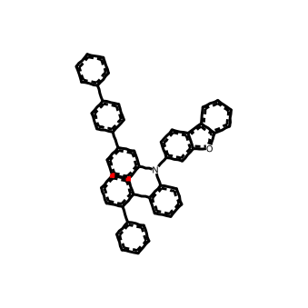 c1ccc(-c2ccc(-c3cccc(N(c4ccc5c(c4)oc4ccccc45)c4ccccc4-c4ccccc4-c4ccccc4)c3)cc2)cc1